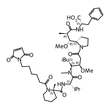 CC[C@H](C)[C@@H]([C@@H](CC(=O)N1CCC[C@H]1[C@H](OC)[C@@H](C)C(=O)N[C@@H](Cc1ccccc1)C(=O)O)OC)N(C)C(=O)[C@@H](NC(=O)[C@]1(C)CCCCN1C(=O)CCCCCN1C(=O)C=CC1=O)C(C)C